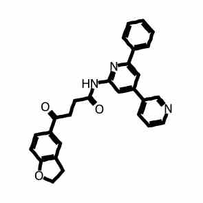 O=C(CCC(=O)c1ccc2c(c1)CCO2)Nc1cc(-c2cccnc2)cc(-c2ccccc2)n1